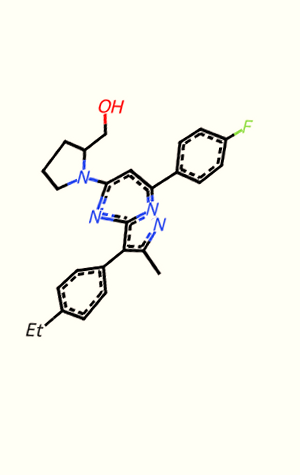 CCc1ccc(-c2c(C)nn3c(-c4ccc(F)cc4)cc(N4CCCC4CO)nc23)cc1